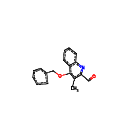 Cc1c(C=O)nc2ccccc2c1OCc1ccccc1